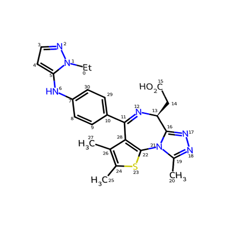 CCn1nccc1Nc1ccc(C2=N[C@@H](CC(=O)O)c3nnc(C)n3-c3sc(C)c(C)c32)cc1